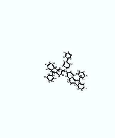 c1ccc(-c2ccc(N(c3ccc4c(ccc5c6ccccc6n(-c6ccccc6)c45)c3)c3ccc4c(c3)c3ccccc3n4-c3ccccc3)cc2)cc1